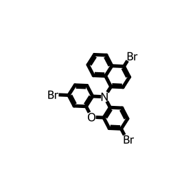 Brc1ccc2c(c1)Oc1cc(Br)ccc1N2c1ccc(Br)c2ccccc12